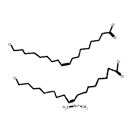 O=C([O-])CCCCCCC/C=C\CCCCCCCCCl.O=C([O-])CCCCCCC/C=C\CCCCCCCCCl.[CH3][Sn+2][CH3]